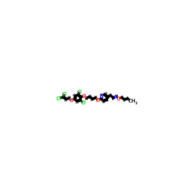 CCCCO/N=C/Cc1ccc(OCCCCOc2c(Cl)cc(OCC=C(Cl)Cl)cc2Cl)nc1